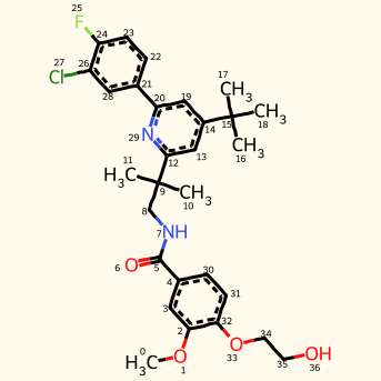 COc1cc(C(=O)NCC(C)(C)c2cc(C(C)(C)C)cc(-c3ccc(F)c(Cl)c3)n2)ccc1OCCO